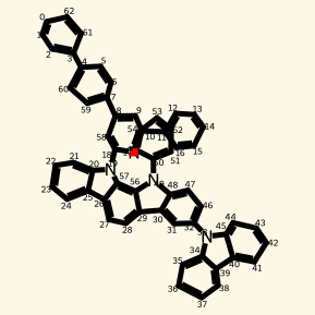 c1ccc(-c2ccc(-c3cc(-c4ccccc4)nc(-n4c5ccccc5c5ccc6c7cc(-n8c9ccccc9c9ccccc98)ccc7n(-c7ccccc7)c6c54)c3)cc2)cc1